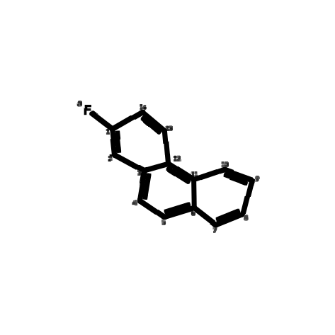 Fc1[c]c2ccc3ccccc3c2cc1